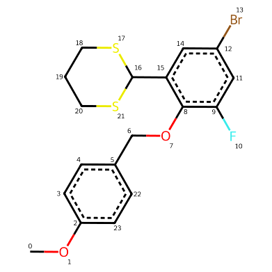 COc1ccc(COc2c(F)cc(Br)cc2C2SCCCS2)cc1